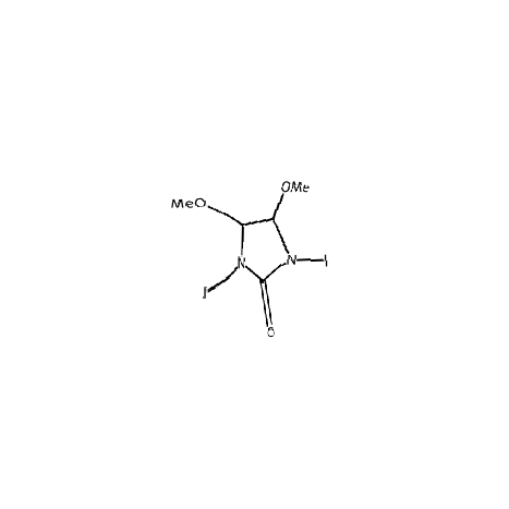 COC1C(OC)N(I)C(=O)N1I